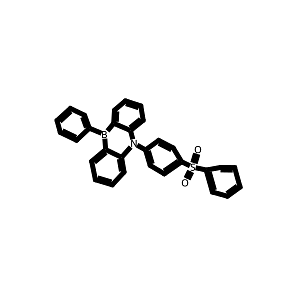 O=S(=O)(c1ccccc1)c1ccc(N2c3ccccc3B(c3ccccc3)c3ccccc32)cc1